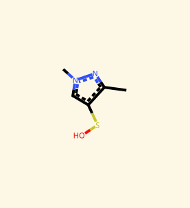 Cc1nn(C)cc1SO